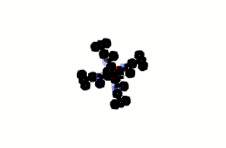 C(=C(/c1ccccc1)c1cc[c]([Ge]([c]2ccc(/C(=C/c3ccc(-c4c5ccccc5cc5ccccc45)cc3)c3ccccc3)cc2)([c]2ccc(/C(=C/c3ccc(-c4c5ccccc5cc5ccccc45)cc3)c3ccccc3)cc2)[c]2ccc(/C(=C/c3ccc(-c4c5ccccc5cc5ccccc45)cc3)c3ccccc3)cc2)cc1)/c1ccc(-c2c3ccccc3cc3ccccc23)cc1